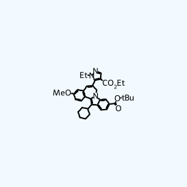 CCOC(=O)c1cnn(CC)c1C1=Cc2cc(OC)ccc2-c2c(C3CCCCC3)c3ccc(C(=O)OC(C)(C)C)cc3n2C1